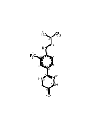 O=C1CNC(c2ccc(NC[C@@H](O)C(F)(F)F)c(C(F)(F)F)c2)=NN1